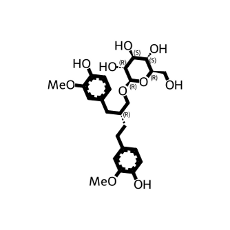 COc1cc(CC[C@@H](CO[C@@H]2O[C@H](CO)[C@@H](O)[C@H](O)[C@H]2O)Cc2ccc(O)c(OC)c2)ccc1O